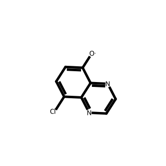 [O]c1ccc(Cl)c2nccnc12